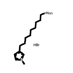 Br.CCCCCCCCCCCCCCCCCCc1ccn(C)c1